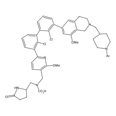 COc1cc(-c2cccc(-c3cccc(-c4ccc(CN(CC5CCC(=O)N5)C(=O)O)c(OC)n4)c3Cl)c2Cl)cc2c1CN(CC1CCN(C(C)=O)CC1)CC2